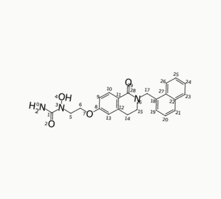 NC(=O)N(O)CCOc1ccc2c(c1)CCN(Cc1cccc3ccccc13)C2=O